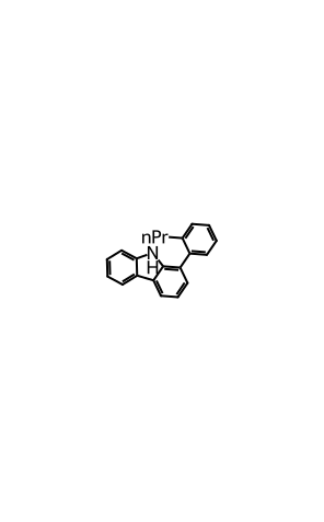 CCCc1ccccc1-c1cccc2c1[nH]c1ccccc12